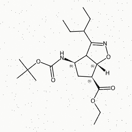 CCOC(=O)[C@H]1C[C@@H](NC(=O)OC(C)(C)C)C2C(C(CC)CC)=NO[C@@H]21